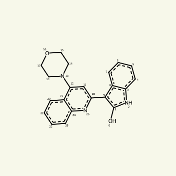 Oc1[nH]c2ccccc2c1-c1cc(N2CCOCC2)c2ccccc2n1